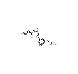 CC(C)(C)OC(=O)N1CC[C@H]1COc1cncc(CC=O)c1